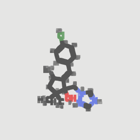 CCC1CC(C)(C)C(O)(Cn2cncn2)C1=Cc1ccc(Cl)cc1